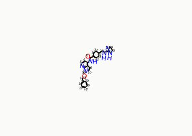 O=C(Nc1ccnc2c1ccn2COCc1ccccc1)C1CCC(CNC2=NCCN2)CC1